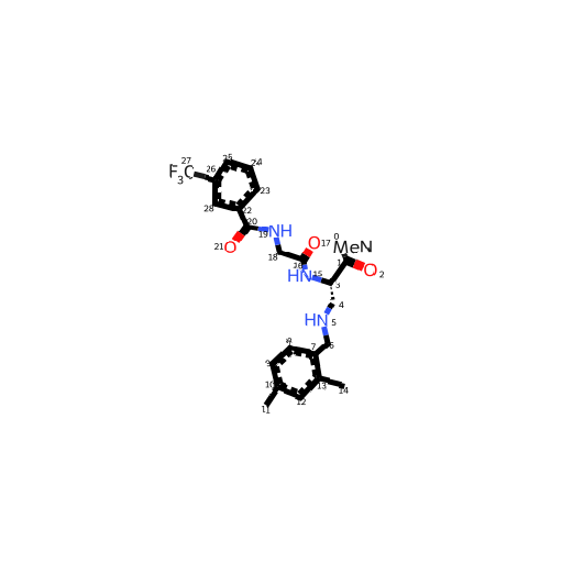 CNC(=O)[C@H](CNCc1ccc(C)cc1C)NC(=O)CNC(=O)c1cccc(C(F)(F)F)c1